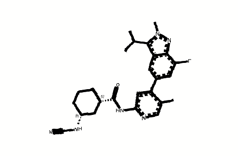 Cc1cnc(NC(=O)[C@H]2CCC[C@@H](NC#N)C2)cc1-c1cc(F)c2nn(C)c(C(C)C)c2c1